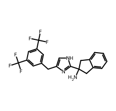 NC1(c2nc(Cc3cc(C(F)(F)F)cc(C(F)(F)F)c3)c[nH]2)Cc2ccccc2C1